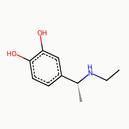 CCN[C@H](C)c1ccc(O)c(O)c1